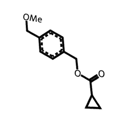 COCc1ccc(COC(=O)C2CC2)cc1